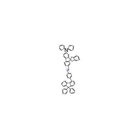 C(=C\c1ccc2c(c1)C1(Cc3ccccc3C1)c1cc(N(c3ccccc3)c3ccccc3)ccc1-2)/c1ccc(-c2cccc3c2-c2ccccc2C3(c2ccccc2)c2ccccc2)cc1